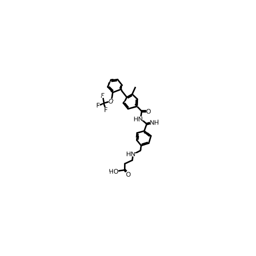 Cc1cc(C(=O)NC(=N)c2ccc(CNCCC(=O)O)cc2)ccc1-c1ccccc1OC(F)(F)F